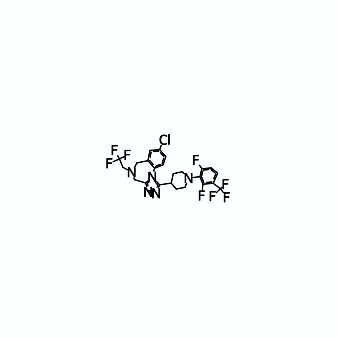 Fc1ccc(C(F)(F)F)c(F)c1N1CCC(c2nnc3n2-c2ccc(Cl)cc2CN(CC(F)(F)F)C3)CC1